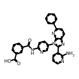 Nc1ncccc1-c1nc2ccc(-c3ccccc3)nc2n1-c1ccc(NC(=O)c2cccc(C(=O)O)c2)nc1